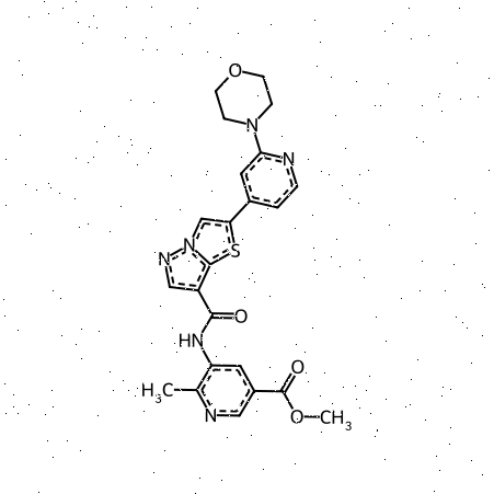 COC(=O)c1cnc(C)c(NC(=O)c2cnn3cc(-c4ccnc(N5CCOCC5)c4)sc23)c1